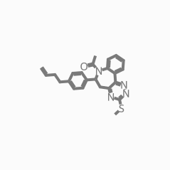 C=CCCc1ccc(C2Cc3nc(SC)nnc3-c3ccccc3N2C(C)=O)cc1